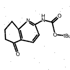 CC(C)(C)OC(=O)Nc1ccc2c(n1)CCCC2=O